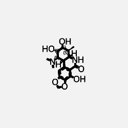 C[C@@H]1[C@H](O)[C@@H](O)[C@H](N(C)C)[C@@H]2c3cc4c(c(O)c3C(=O)N[C@@H]12)OCO4